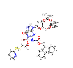 CC(CSSc1ccccn1)OC(=O)n1c(NC(=O)OCC2c3ccccc3-c3ccccc32)nc2c(ncn2C2CC3O[Si](C(C)C)(C(C)C)O[Si](C(C)C)(C(C)C)OCC3O2)c1=O